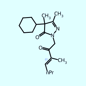 CCC/C=C(\C)C(=O)CN1N=C(C)C(C)(C2CCCCC2)C1=O